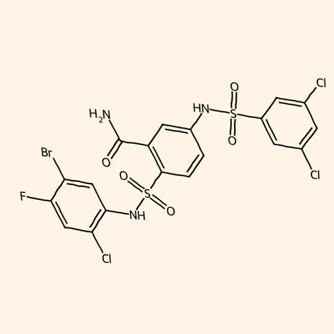 NC(=O)c1cc(NS(=O)(=O)c2cc(Cl)cc(Cl)c2)ccc1S(=O)(=O)Nc1cc(Br)c(F)cc1Cl